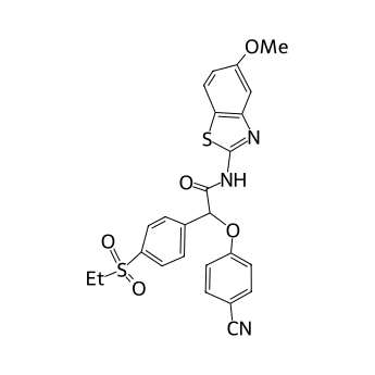 CCS(=O)(=O)c1ccc(C(Oc2ccc(C#N)cc2)C(=O)Nc2nc3cc(OC)ccc3s2)cc1